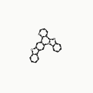 c1ccc2c(c1)nc1c3cccnc3c3cc4oc5ccccc5c4cc3n21